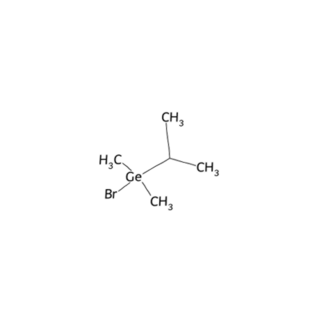 C[CH](C)[Ge]([CH3])([CH3])[Br]